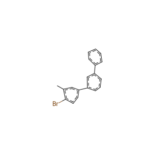 Cc1cc(-c2cccc(-c3ccccc3)c2)ccc1Br